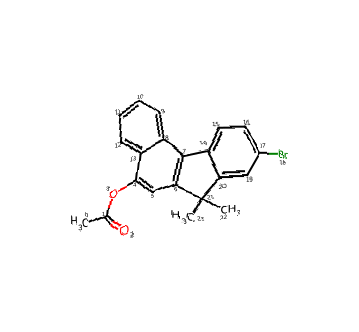 CC(=O)Oc1cc2c(c3ccccc13)-c1ccc(Br)cc1C2(C)C